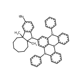 CC(C)(C)c1ccc2c(c1)C1(C)CCCCCCC1(C)N2c1cc2c3c(c1)N(c1ccccc1)c1ccccc1B3c1ccccc1N2c1ccccc1